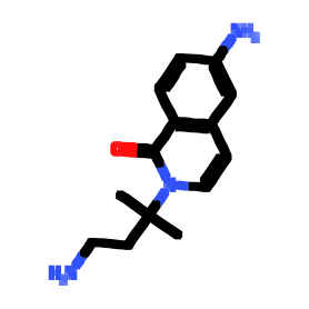 CC(C)(CCN)n1ccc2cc(N)ccc2c1=O